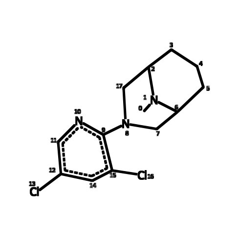 CN1C2CCCC1CN(c1ncc(Cl)cc1Cl)C2